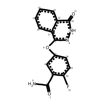 NC(=O)c1cc(Oc2n[nH]c(=O)c3ccccc23)ccc1F